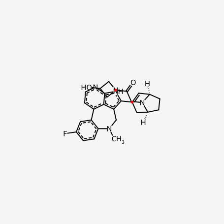 CN1Cc2c(C3=C[C@H]4CC[C@@H](C3)N4CC(=O)N3CC(O)C3)[nH]c3nccc(c23)-c2cc(F)ccc21